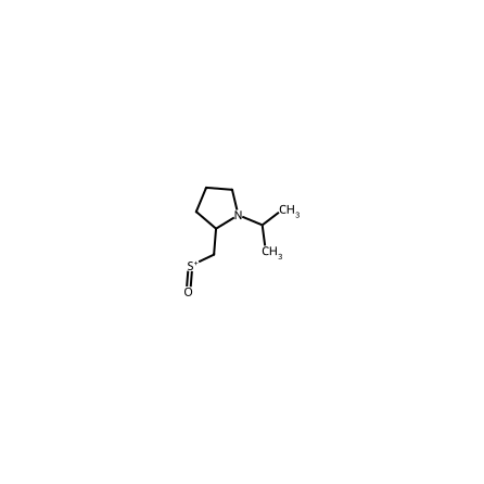 CC(C)N1CCCC1C[S+]=O